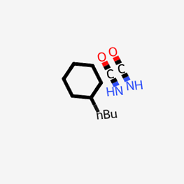 CCCCC1CCCCC1.N=C=O.N=C=O